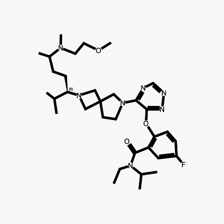 CCN(C(=O)c1cc(F)ccc1Oc1nncnc1N1CCC2(C1)CN([C@H](CCC(C)N(C)CCOC)C(C)C)C2)C(C)C